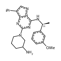 COc1cccc([C@H](C)Nc2nc(N3CCCC(N)C3)nc3c(C(C)C)cnn23)c1